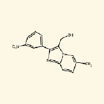 Cc1ccc2nc(-c3cccc([N+](=O)[O-])c3)c(CO)n2c1